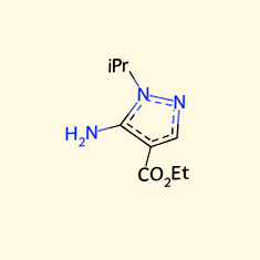 CCOC(=O)c1cnn(C(C)C)c1N